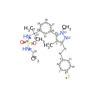 Cc1c(CCc2ccc(F)cc2)nn(C)c1-c1cccc(C(C)(C)NS(=O)(=O)NCC(F)(F)F)c1